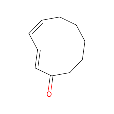 O=C1/C=C/C=C\CCCCC1